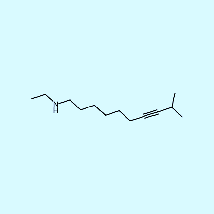 CCNCCCCCCC#CC(C)C